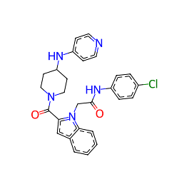 O=C(Cn1c(C(=O)N2CCC(Nc3ccncc3)CC2)cc2ccccc21)Nc1ccc(Cl)cc1